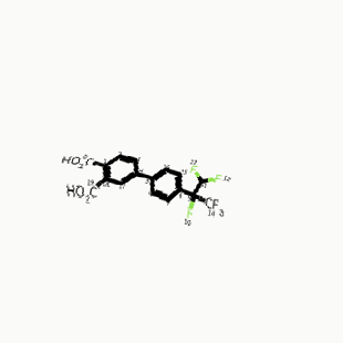 O=C(O)c1ccc(-c2ccc(C(F)(C(F)F)C(F)(F)F)cc2)cc1C(=O)O